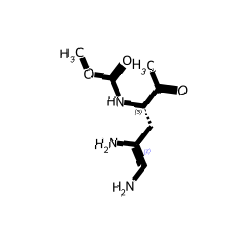 COC(=O)N[C@@H](C/C(N)=C/N)C(C)=O